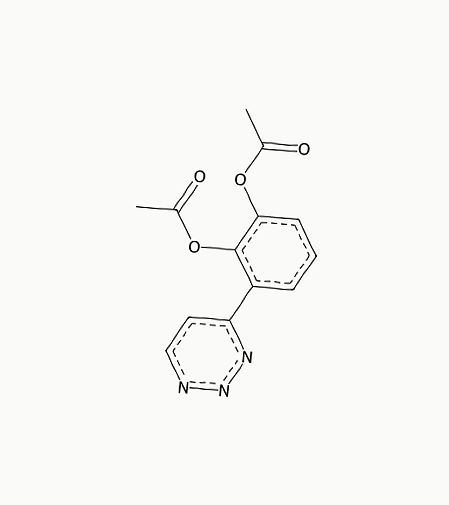 CC(=O)Oc1cccc(-c2ccnnn2)c1OC(C)=O